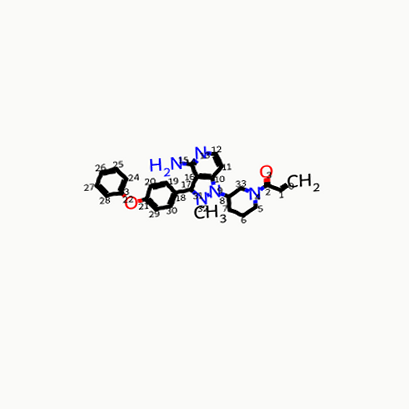 C=CC(=O)N1CCCC(N2c3ccnc(N)c3C(c3ccc(Oc4ccccc4)cc3)N2C)C1